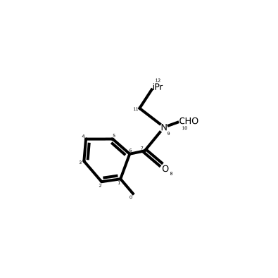 Cc1ccccc1C(=O)N(C=O)CC(C)C